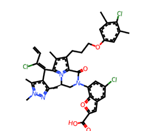 C=C/C(Cl)=C(/c1c(C)nn(C)c1C)c1c(C)c(CCCOc2cc(C)c(Cl)c(C)c2)c2n1[C@H](C)CN(c1cc(Cl)cc3cc(C(=O)O)oc13)C2=O